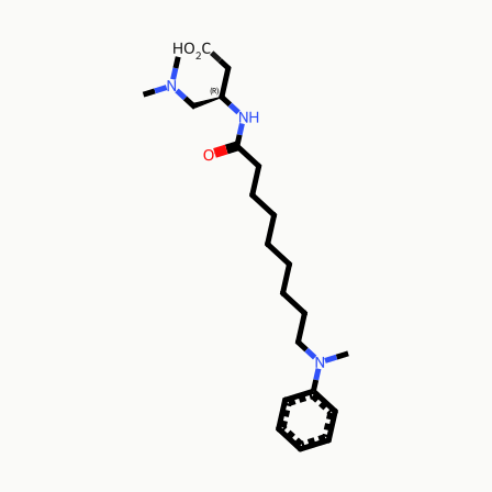 CN(C)C[C@@H](CC(=O)O)NC(=O)CCCCCCCCN(C)c1ccccc1